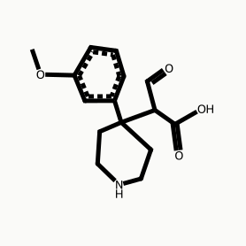 COc1cccc(C2(C(C=O)C(=O)O)CCNCC2)c1